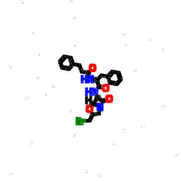 O=C(CCc1ccccc1)N[C@@H](Cc1ccccc1)C(=O)N[C@@H]1C(=O)N2CC(CBr)O[C@@H]12